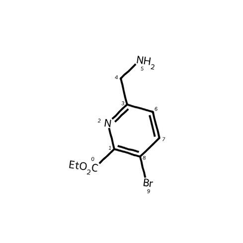 CCOC(=O)c1nc(CN)ccc1Br